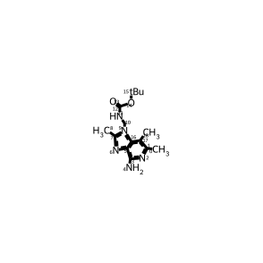 Cc1nc(N)c2nc(C)n(CNC(=O)OC(C)(C)C)c2c1C